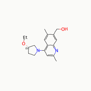 CCO[C@H]1CCN(c2cc(C)nc3cc(CO)c(C)cc23)C1